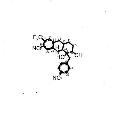 N#Cc1ccc(C[C@]2(O)C(O)CCC3Cc4cc(C(F)(F)F)c(C#N)cc4NC32)cc1